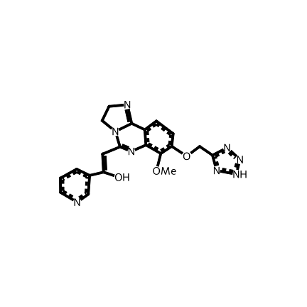 COc1c(OCc2nn[nH]n2)ccc2c1N=C(C=C(O)c1cccnc1)N1CCN=C21